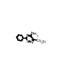 CCOC(=O)c1nnc(-c2ccccc2)nc1N